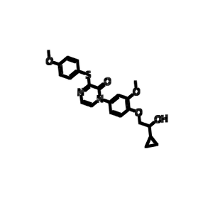 COc1ccc(Sc2nccn(-c3ccc(OCC(O)C4CC4)c(OC)c3)c2=O)cc1